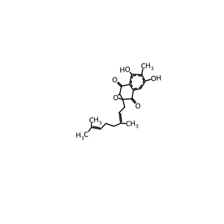 CC(C)=CCC/C(C)=C/CC12OC1C(=O)c1c(cc(O)c(C)c1O)C2=O